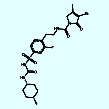 CCC1=C(C)CN(C(=O)NCCc2ccc(S(=O)(=O)NC(=O)N[C@H]3CC[C@H](C)CC3)cc2F)C1=O